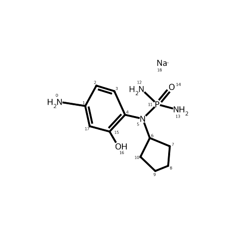 Nc1ccc(N(C2CCCC2)P(N)(N)=O)c(O)c1.[Na]